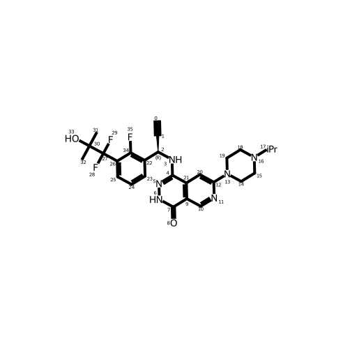 C#C[C@@H](Nc1n[nH]c(=O)c2cnc(N3CCN(C(C)C)CC3)cc12)c1cccc(C(F)(F)C(C)(C)O)c1F